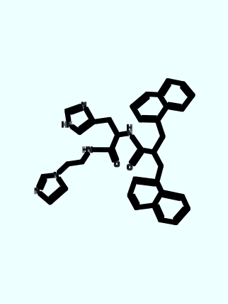 O=C(NC(Cc1c[nH]cn1)C(=O)NCCn1ccnc1)C(Cc1cccc2ccccc12)Cc1cccc2ccccc12